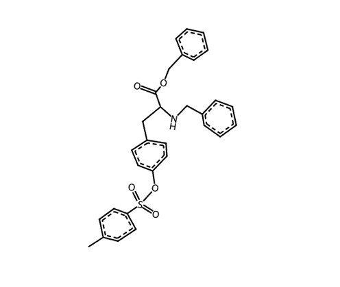 Cc1ccc(S(=O)(=O)Oc2ccc(CC(NCc3ccccc3)C(=O)OCc3ccccc3)cc2)cc1